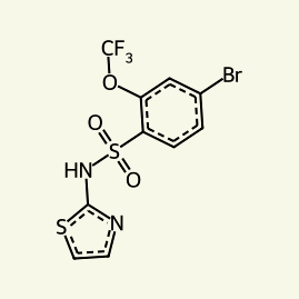 O=S(=O)(Nc1nccs1)c1ccc(Br)cc1OC(F)(F)F